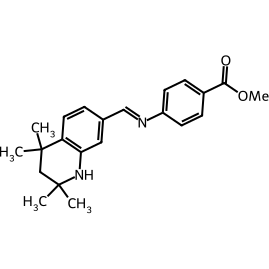 COC(=O)c1ccc(N=Cc2ccc3c(c2)NC(C)(C)CC3(C)C)cc1